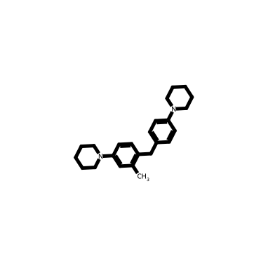 Cc1cc(N2CCCCC2)ccc1Cc1ccc(N2CCCCC2)cc1